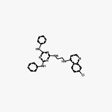 Clc1ccc2c(NCCNc3nc(Nc4ccccc4)nc(Nc4ccccc4)n3)ccnc2c1